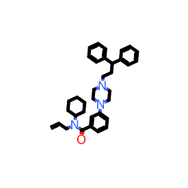 C=CCN(C(=O)c1cccc(N2CCN(CCC(c3ccccc3)c3ccccc3)CC2)c1)C1CCCCC1